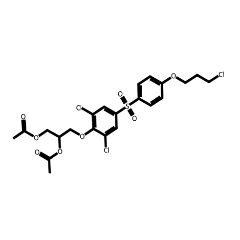 CC(=O)OCC(COc1c(Cl)cc(S(=O)(=O)c2ccc(OCCCCl)cc2)cc1Cl)OC(C)=O